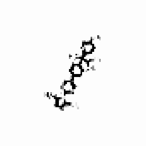 Cc1ccc(C(C)(c2ccc(-c3cnc(-n4c(C)ccc4C)nc3)cc2)C(C)C)nc1